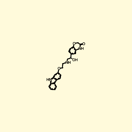 O=C1COc2ccc([C@@H](O)CNCCOc3ccc4c(c3)[nH]c3ccccc34)cc2N1